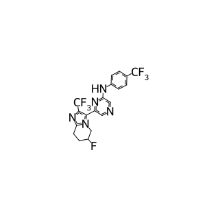 FC1CCc2nc(C(F)(F)F)c(-c3cncc(Nc4ccc(C(F)(F)F)cc4)n3)n2C1